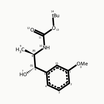 COc1cccc([C@H](O)[C@@H](C)NC(=O)OC(C)(C)C)c1